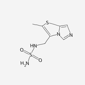 Cc1sc2cncn2c1CNS(N)(=O)=O